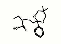 CCC(SCC1(c2ccccc2)OCC(C)(C)CO1)C(=O)O